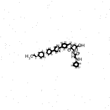 CCC[C@H]1CC[C@H](C2CC=C(c3cnc(-c4ccc(CN(CC(=O)O)C(=O)CNC(=O)CNc5ccccc5)cc4)nc3)CC2)CC1